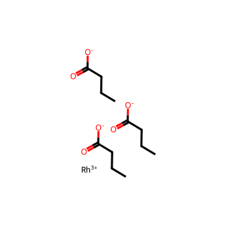 CCCC(=O)[O-].CCCC(=O)[O-].CCCC(=O)[O-].[Rh+3]